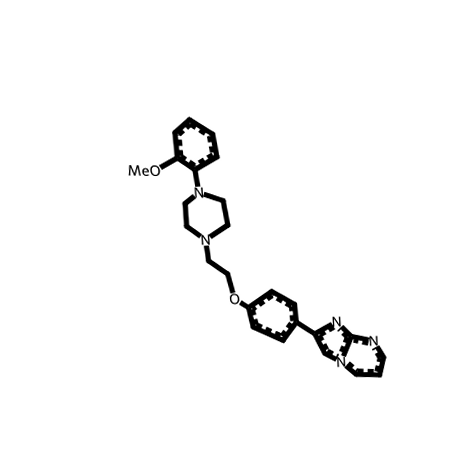 COc1ccccc1N1CCN(CCOc2ccc(-c3cn4cccnc4n3)cc2)CC1